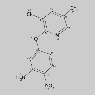 Nc1cc(Oc2ncc(C(F)(F)F)cc2Cl)ccc1[N+](=O)[O-]